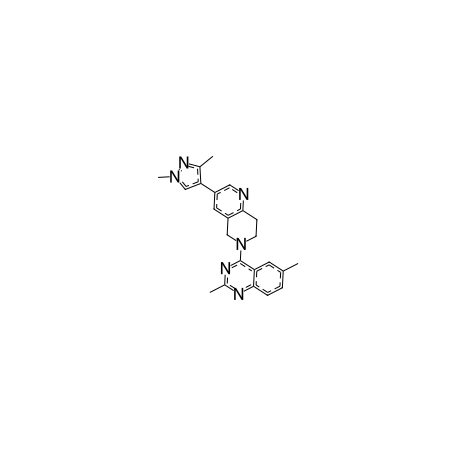 Cc1ccc2nc(C)nc(N3CCc4ncc(-c5cn(C)nc5C)cc4C3)c2c1